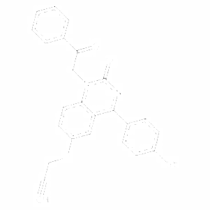 C#CCOc1ccc2c(c1)c(-c1ccc(C(C)C)cc1)nc(=O)n2CC(=O)c1ccccc1